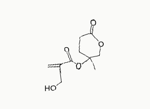 C=C(CO)C(=O)OC1(C)CCC(=O)OC1